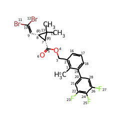 Cc1c(COC(=O)[C@@H]2[C@H](C=C(Br)Br)C2(C)C)cccc1-c1cc(F)c(F)c(F)c1